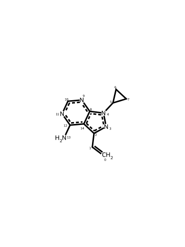 C=Cc1nn(C2CC2)c2ncnc(N)c12